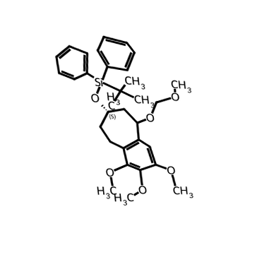 COCOC1C[C@@H](O[Si](c2ccccc2)(c2ccccc2)C(C)(C)C)CCc2c1cc(OC)c(OC)c2OC